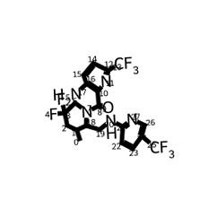 CC1CC(F)(F)CN(C(=O)c2nc(C(F)(F)F)ccc2N)C1CNc1ccc(C(F)(F)F)cn1